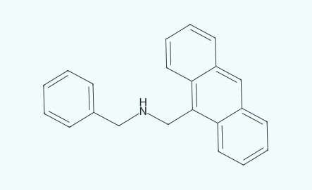 c1ccc(CNCc2c3ccccc3cc3ccccc23)cc1